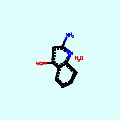 Nc1cc(O)c2ccccc2n1.O